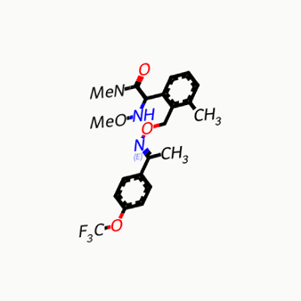 CNC(=O)C(NOC)c1cccc(C)c1CO/N=C(\C)c1ccc(OC(F)(F)F)cc1